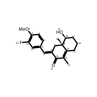 COc1ccc(/C=C2\C[C@@]3(C)C(=C(C)C2=O)CCC[C@@H]3O)cc1F